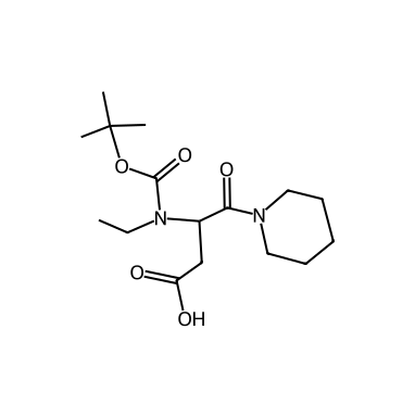 CCN(C(=O)OC(C)(C)C)C(CC(=O)O)C(=O)N1CCCCC1